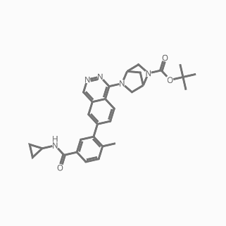 Cc1ccc(C(=O)NC2CC2)cc1-c1ccc2c(N3CC4CC3CN4C(=O)OC(C)(C)C)nncc2c1